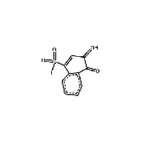 N=C1C=C(S(=O)(=O)I)c2ccccc2C1=O